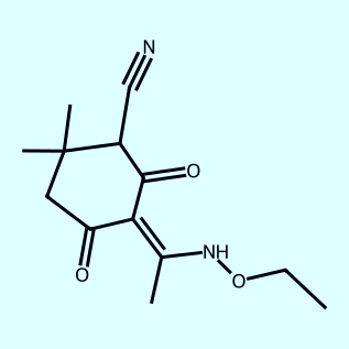 CCONC(C)=C1C(=O)CC(C)(C)C(C#N)C1=O